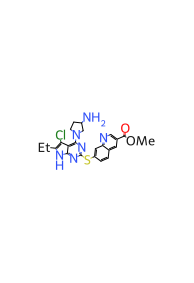 CCc1[nH]c2nc(Sc3ccc4cc(C(=O)OC)cnc4c3)nc(N3CC[C@@H](N)C3)c2c1Cl